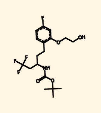 CC(C)(C)OC(=O)NC(CCc1ccc(F)cc1OCCO)CC(F)(F)F